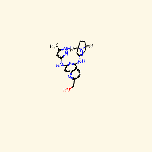 Cc1cc(Nc2cc3nc(CO)ccc3c(N[C@H]3C[C@H]4CC[C@@H](C3)N4)n2)n[nH]1